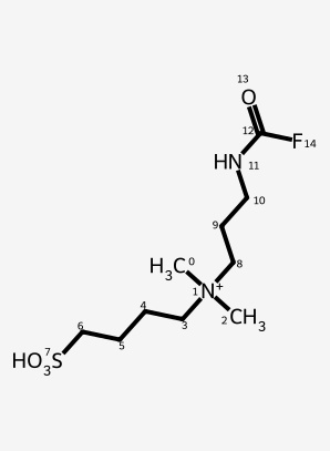 C[N+](C)(CCCCS(=O)(=O)O)CCCNC(=O)F